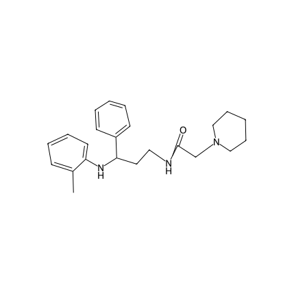 Cc1ccccc1NC(CCNC(=O)CN1CCCCC1)c1ccccc1